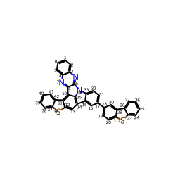 c1ccc2nc3c(nc2c1)c1c2c(cc4c5cc(-c6ccc7sc8ccccc8c7c6)ccc5n3c41)sc1ccccc12